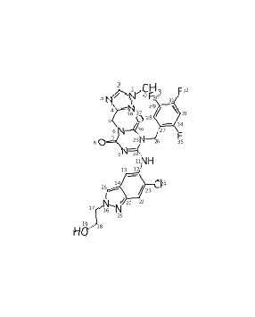 Cn1cnc(Cn2c(=O)nc(Nc3cc4cn(CCO)nc4cc3Cl)n(Cc3cc(F)c(F)cc3F)c2=O)n1